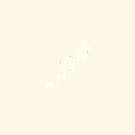 CSCCC(=O)Nc1cn(-c2cncc(F)c2)nc1Br